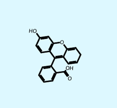 O=C(O)c1ccccc1C1=C2C=CCC=C2Oc2cc(O)ccc21